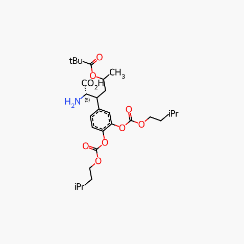 CC(C)CCOC(=O)Oc1ccc(C(CC(C)OC(=O)C(C)(C)C)[C@H](N)C(=O)O)cc1OC(=O)OCCC(C)C